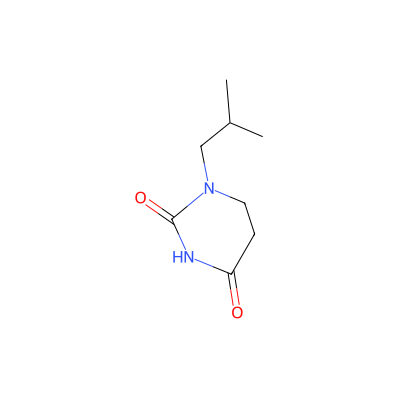 CC(C)CN1CCC(=O)NC1=O